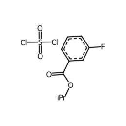 CC(C)OC(=O)c1cccc(F)c1.O=S(=O)(Cl)Cl